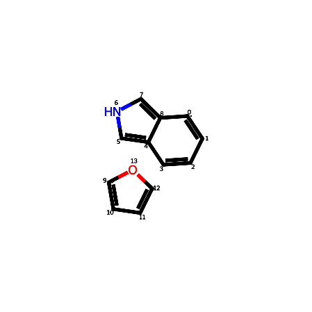 [c]1cccc2c[nH]cc12.[c]1ccco1